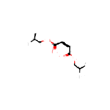 CC(C)C(C)COC(=O)/C=C\C(=O)OCC(C)C(C)C